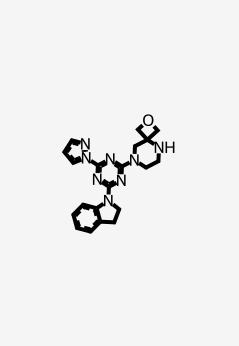 c1ccc2c(c1)CCN2c1nc(N2CCNC3(COC3)C2)nc(-n2cccn2)n1